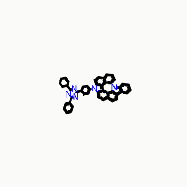 C1=CC(c2nc(-c3ccccc3)nc(-c3ccc(-n4c5ccc6cccc7c6c5c5c6c(ccc8c9ccccc9n7c86)ccc54)cc3)n2)=CCC1